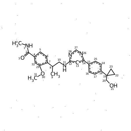 CNC(=O)c1ccc(C(C)CNc2cc(-c3ccc(C4(CO)CC4)cc3)ncn2)c(OC)c1